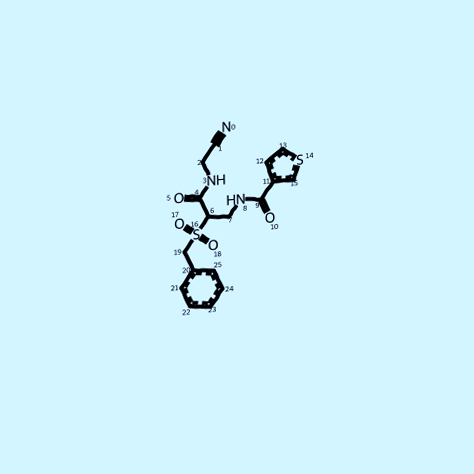 N#CCNC(=O)C(CNC(=O)c1ccsc1)S(=O)(=O)Cc1ccccc1